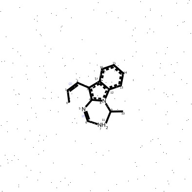 C/C=C\c1c(/N=C\N)n(C(C)C)c2ccccc12